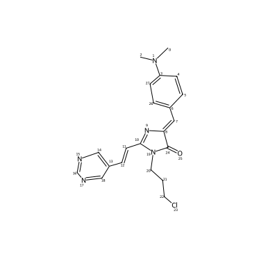 CN(C)c1ccc(/C=C2N=C(/C=C/c3cncnc3)N(CCCCl)C\2=O)cc1